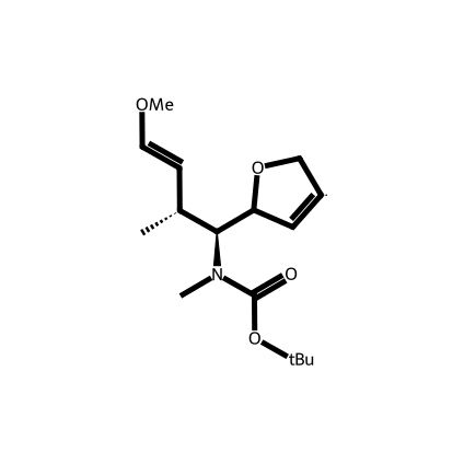 COC=C[C@@H](C)[C@@H](C1C=[C]CO1)N(C)C(=O)OC(C)(C)C